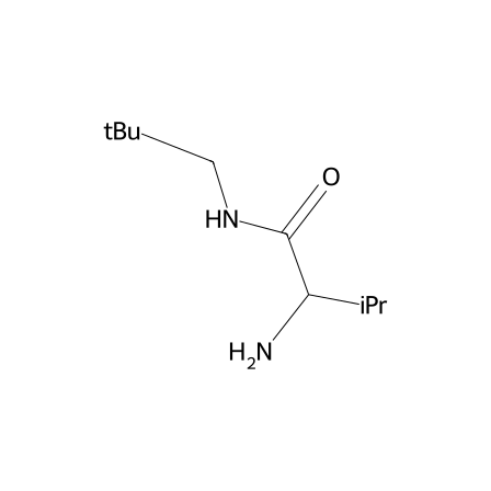 CC(C)C(N)C(=O)NCC(C)(C)C